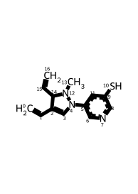 C=CC1=CN(c2cncc(S)c2)N(C)C1C=C